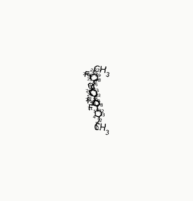 CCCC1CCC(c2ccc(-c3ccc(OCC4=CC[C@H](CC)C(F)=C4)cc3)c(F)c2F)CC1